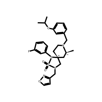 CC(C)Oc1cccc(CN2CC[C@@]3(C[C@@H]2C)CN(Cc2ccon2)S(=O)(=O)N3c2cccc(F)c2)c1